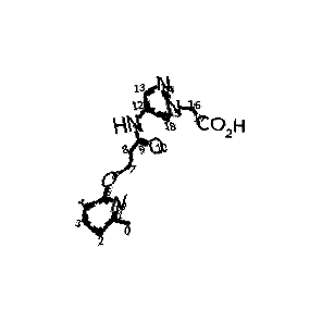 Cc1cccc(OCCC(=O)Nc2cnn(CC(=O)O)c2)n1